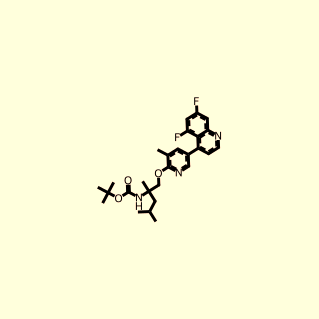 Cc1cc(-c2ccnc3cc(F)cc(F)c23)cnc1OCC(C)(CC(C)C)NC(=O)OC(C)(C)C